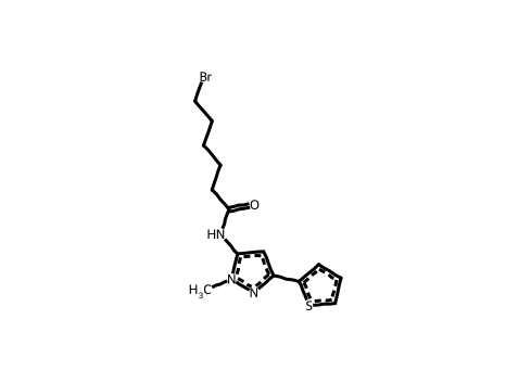 Cn1nc(-c2cccs2)cc1NC(=O)CCCCCBr